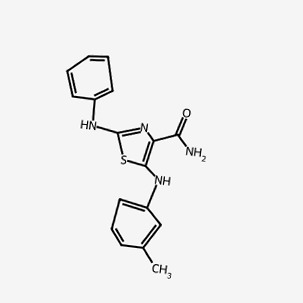 Cc1cccc(Nc2sc(Nc3ccccc3)nc2C(N)=O)c1